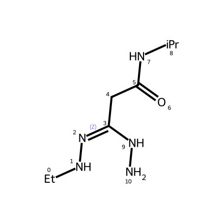 CCN/N=C(/CC(=O)NC(C)C)NN